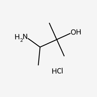 CC(N)C(C)(C)O.Cl